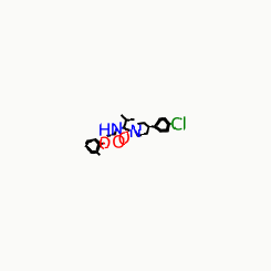 Cc1ccccc1OCC(=O)NC(C(=O)N1CCC(c2ccc(Cl)cc2)CC1)C(C)C